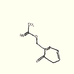 N=C(OCC1=CC=CCC1=S)C(Cl)(Cl)Cl